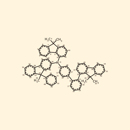 CC1(C)c2ccccc2-c2c(N(c3ccc(-c4ccccc4-c4cccc5c4C(C)(C)c4ccccc4-5)cc3)c3ccc4c(c3)C(C)(c3ccccc3)c3ccccc3-4)cccc21